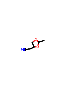 C[C]1OCC(CC#N)O1